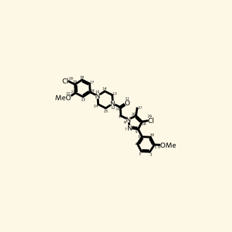 COc1cccc(-c2nn(CC(=O)N3CCN(c4ccc(Cl)c(OC)c4)CC3)c(C)c2Cl)c1